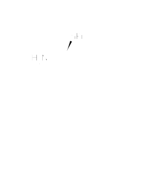 CCC[C@H](N)/C=C/c1ccccc1